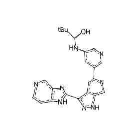 CC(C)(C)C(O)Nc1cncc(-c2cc3c(-c4nc5cnccc5[nH]4)n[nH]c3cn2)c1